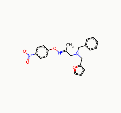 C/C(CN(Cc1ccccc1)Cc1ccco1)=N\Oc1ccc([N+](=O)[O-])cc1